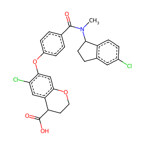 CN(C(=O)c1ccc(Oc2cc3c(cc2Cl)C(C(=O)O)CCO3)cc1)C1CCc2cc(Cl)ccc21